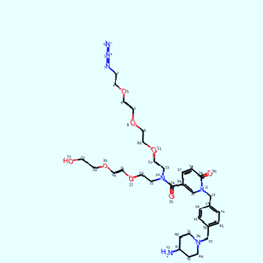 [N-]=[N+]=NCCOCCOCCOCCN(CCOCCOCCO)C(=O)c1ccc(=O)n(Cc2ccc(CN3CCC(N)CC3)cc2)c1